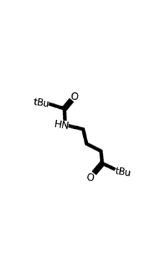 CC(C)(C)C(=O)CCCNC(=O)C(C)(C)C